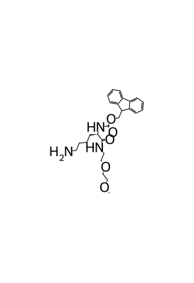 COCCOCCNC(=O)[C@@H](CCCCN)NC(=O)OCC1c2ccccc2-c2ccccc21